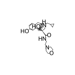 O=C(NCCN1CCOCC1)[C@H]1C[C@]23CCN(CC4CC4)[C@H](Cc4ccc(O)cc42)[C@]3(O)C1